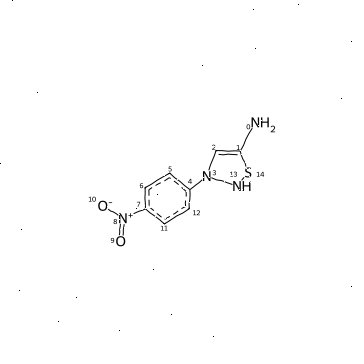 NC1=CN(c2ccc([N+](=O)[O-])cc2)NS1